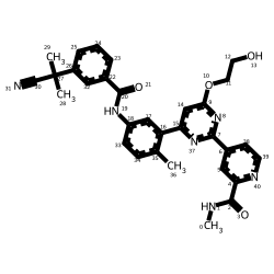 CNC(=O)c1cc(-c2nc(OCCO)cc(-c3cc(NC(=O)c4cccc(C(C)(C)C#N)c4)ccc3C)n2)ccn1